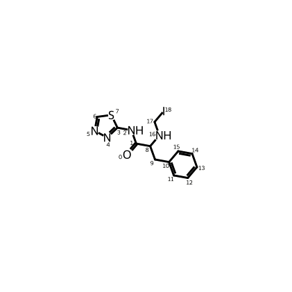 O=C(Nc1nncs1)C(Cc1ccccc1)NCI